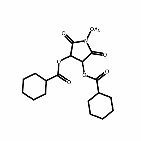 CC(=O)ON1C(=O)C(OC(=O)C2CCCCC2)C(OC(=O)C2CCCCC2)C1=O